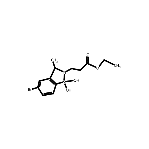 CCOC(=O)CCN1C(C)c2cc(Br)ccc2S1(O)O